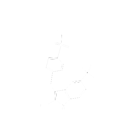 CCS(=O)(=O)c1ccc(Oc2c(C)[nH]c3ccc(C(F)(F)F)cc23)cc1